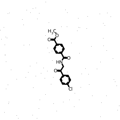 COC(=O)c1ccc(C(=O)NCC(=O)c2ccc(Cl)cc2)cc1